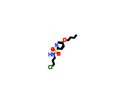 CCCCOc1ccc(S(=O)(=O)NCCCCl)nc1